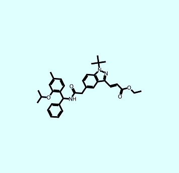 CCOC(=O)C=Cc1nn(C(C)(C)C)c2ccc(CC(=O)NC(c3ccccc3)c3ccc(C)cc3OC(C)C)cc12